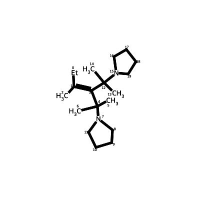 CCC(C)=C(C(C)(C)N1CCCC1)C(C)(C)N1CCCC1